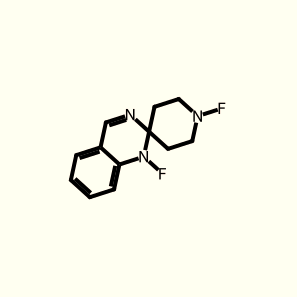 FN1CCC2(CC1)N=Cc1ccccc1N2F